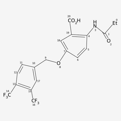 CCC(=O)Nc1ccc(OCc2ccc(C(F)(F)F)c(C(F)(F)F)c2)cc1C(=O)O